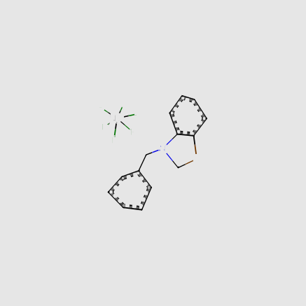 [F][Sb-]([F])([F])([F])([F])[F].c1ccc(CN2CSc3ccccc32)cc1